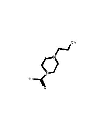 OCCN1CCN(C(O)=S)CC1